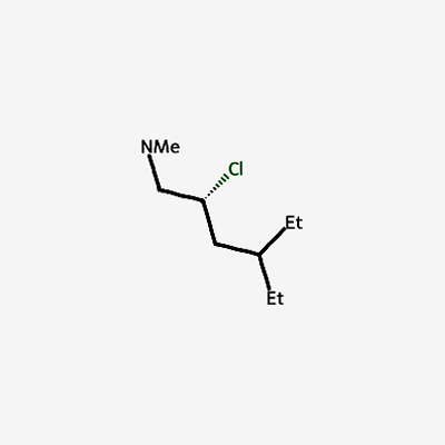 CCC(CC)C[C@@H](Cl)CNC